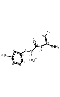 Cl.NC(=NF)NC(=O)NCc1cccc(F)c1